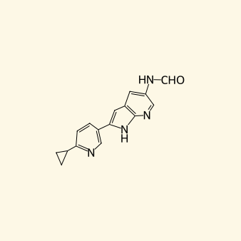 O=CNc1cnc2[nH]c(-c3ccc(C4CC4)nc3)cc2c1